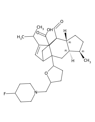 CC(C)C1=CC2CC3(C=O)[C@@H]4CC[C@@H](C)[C@H]4CC2(C2CCC(CN4CCC(F)CC4)O2)C13C(=O)O